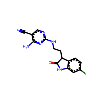 N#Cc1cnc(NCCC2C(=O)Nc3cc(F)ccc32)nc1N